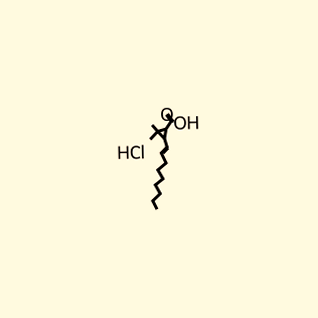 CCCCCCCC=CC1C(C(=O)O)C1(C)C.Cl